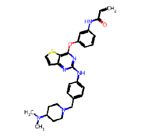 C=CC(=O)Nc1cccc(Oc2nc(Nc3ccc(CN4CCC(N(C)C)CC4)cc3)nc3ccsc23)c1